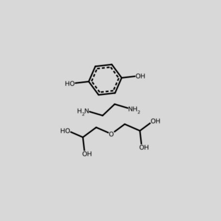 NCCN.OC(O)COCC(O)O.Oc1ccc(O)cc1